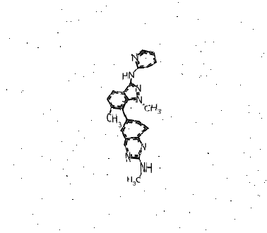 CNc1ncc2cc(-c3c(C)ccc4c(Nc5ccccn5)nn(C)c34)ccc2n1